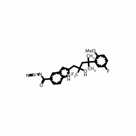 COc1ccc(F)cc1C(C)(C)CC(O)(Cc1cc2cc(C(=O)N=[N+]=[N-])ccc2[nH]1)C(F)(F)F